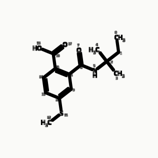 CCC(C)(C)NC(=O)c1cc(SC)ccc1C(=O)O